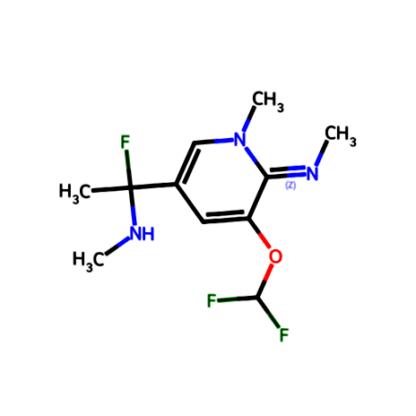 C/N=c1/c(OC(F)F)cc(C(C)(F)NC)cn1C